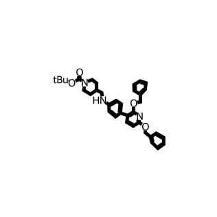 CC(C)(C)OC(=O)N1CCC(CNc2ccc(-c3ccc(OCc4ccccc4)nc3OCc3ccccc3)cc2)CC1